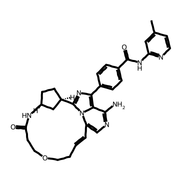 Cc1ccnc(NC(=O)c2ccc(-c3nc4n5c(cnc(N)c35)/C=C/CCOCCC(=O)N[C@@H]3CC[C@@H]4C3)cc2)c1